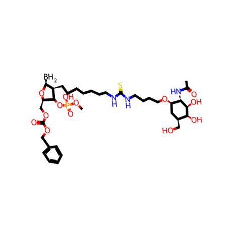 B[C@@H]1O[C@H](COC(=O)OCc2ccccc2)C(OP(=O)(O)OC)[C@@H]1CCCCCCCNC(=S)NCCCCO[C@@H]1C[C@H](CO)[C@H](O)[C@H](O)[C@H]1NC(C)=O